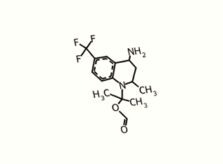 CC1CC(N)c2cc(C(F)(F)F)ccc2N1C(C)(C)OC=O